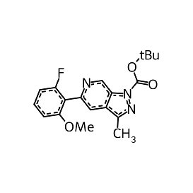 COc1cccc(F)c1-c1cc2c(C)nn(C(=O)OC(C)(C)C)c2cn1